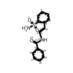 NS(=O)(=O)c1ccccc1C=CNC(=O)c1ccccc1